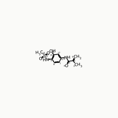 C=C(C)C(=O)Nc1ccc(NS(C)(=O)=O)c(O)c1